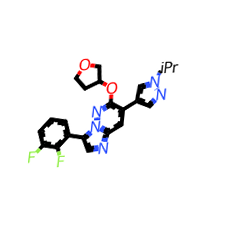 CC(C)n1cc(-c2cc3ncc(-c4cccc(F)c4F)n3nc2OC2CCOC2)cn1